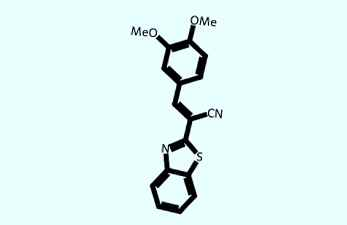 COc1ccc(C=C(C#N)c2nc3ccccc3s2)cc1OC